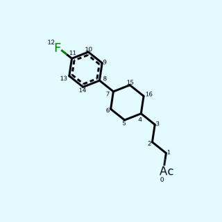 CC(=O)CCCC1CCC(c2ccc(F)cc2)CC1